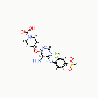 CS(=O)(=O)c1ccc(Nc2ncnc(OC3CCN(C(=O)O)CC3)c2N)c(F)c1